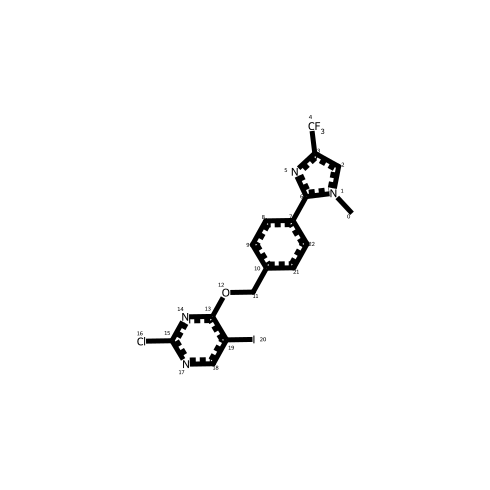 Cn1cc(C(F)(F)F)nc1-c1ccc(COc2nc(Cl)ncc2I)cc1